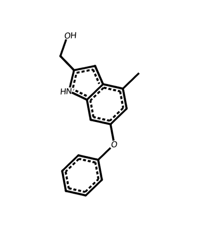 Cc1cc(Oc2ccccc2)cc2[nH]c(CO)cc12